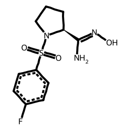 N/C(=N\O)[C@@H]1CCCN1S(=O)(=O)c1ccc(F)cc1